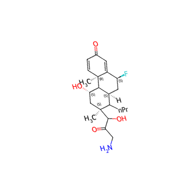 CCCC1[C@@H]2C[C@H](F)C3=CC(=O)C=C[C@]3(C)C2[C@@H](O)C[C@]1(C)C(O)C(=O)CN